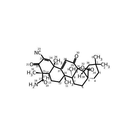 CC1(C)CC[C@@]23CC[C@@]4(C)[C@]5(C)CC[C@H]6[C@](C)(C(N)=O)C(=O)C(C#N)=C[C@]6(C)C5=CC(=O)[C@]4(OC2=O)[C@@H]3C1